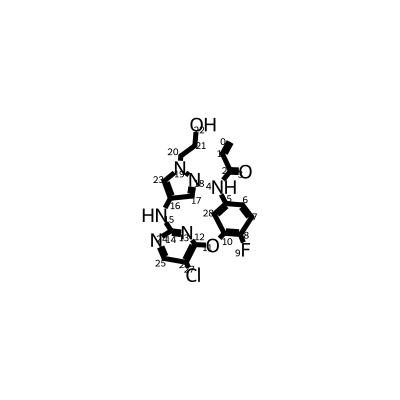 C=CC(=O)Nc1ccc(F)c(Oc2nc(Nc3cnn(CCO)c3)ncc2Cl)c1